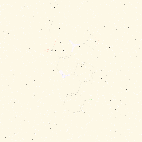 CCOC(=O)c1cnc2c(-c3cccc(Cl)c3Cl)cccc2c1N(C)C1COC1